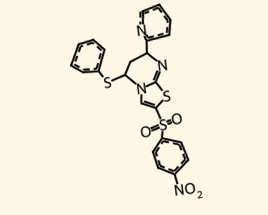 O=[N+]([O-])c1ccc(S(=O)(=O)C2=CN3C(=NC(c4ccccn4)CC3Sc3ccccc3)S2)cc1